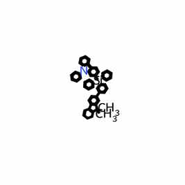 CC1(C)C2=C(C=CCC2)c2ccc(-c3cccc([Si](c4ccccc4)(c4ccccc4)c4ccc5c6ccccc6n(-c6ccccc6)c5c4)c3)cc21